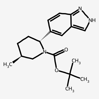 C[C@H]1CC[C@H](c2ccc3n[nH]cc3c2)N(C(=O)OC(C)(C)C)C1